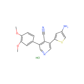 COc1ccc(-c2cncc(-c3cc(N)cs3)c2C#N)cc1OC.Cl